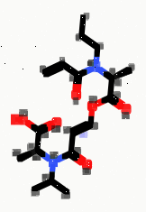 C=CC(=O)N(CCC)[C@@H](C)C(=O)O/C=C/C(=O)N(C(C)C)[C@@H](C)C(=O)O